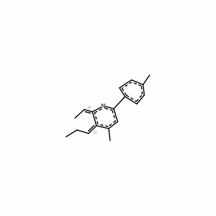 C/C=c1/nc(-c2ccc(C)cc2)cc(C)/c1=C/CC